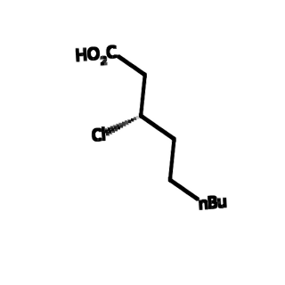 CCCCCC[C@H](Cl)CC(=O)O